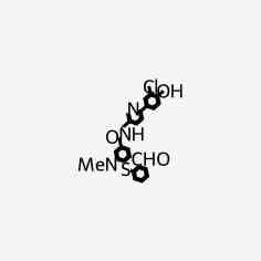 CNc1cc(C(=O)NCc2ccc(-c3ccc(O)c(Cl)c3)nc2)ccc1Sc1ccccc1C=O